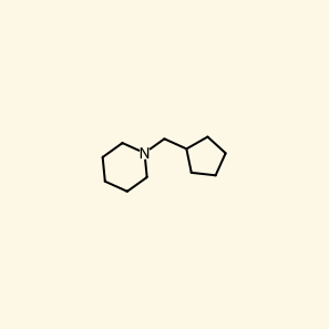 C1CCN(CC2CCCC2)CC1